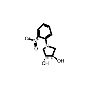 O=[N+]([O-])c1ccccc1N1C[C@@H](O)[C@H](O)C1